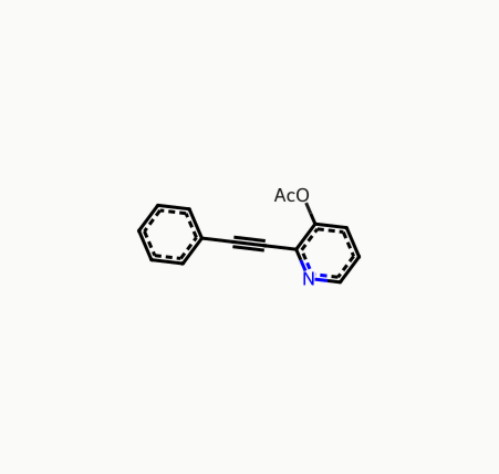 CC(=O)Oc1cccnc1C#Cc1ccccc1